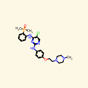 CN1CCN(CCOc2ccc(Nc3ncc(Cl)c(Nc4ccccc4P(C)(C)=O)n3)cc2)CC1